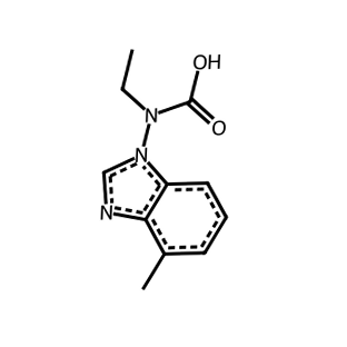 CCN(C(=O)O)n1cnc2c(C)cccc21